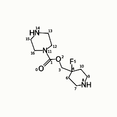 O=C(OCC1(F)CCNCC1)N1CCNCC1